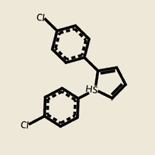 Clc1ccc(C2=CC=[C][SH]2c2ccc(Cl)cc2)cc1